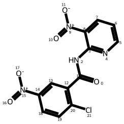 O=C(Nc1ncccc1[N+](=O)[O-])c1cc([N+](=O)[O-])ccc1Cl